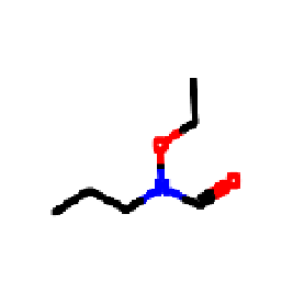 CCCN(C=O)OCC